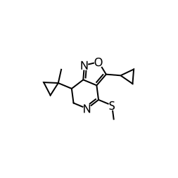 CSC1=NCC(C2(C)CC2)c2noc(C3CC3)c21